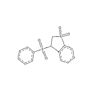 O=S1(=O)CC(S(=O)(=O)c2ccccc2)c2ccccc21